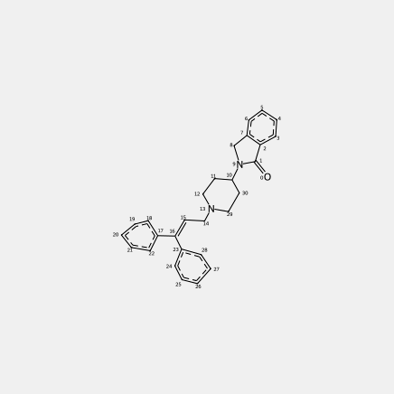 O=C1c2ccccc2CN1C1CCN(CC=C(c2ccccc2)c2ccccc2)CC1